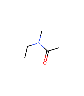 C[CH]N(C)C(C)=O